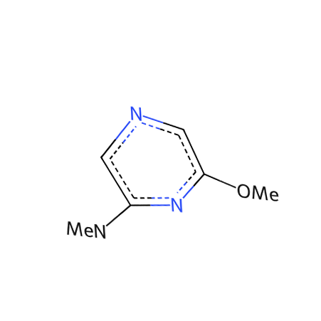 CNc1cncc(OC)n1